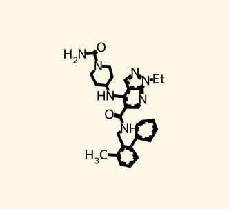 CCn1ncc2c(NC3CCN(C(N)=O)CC3)c(C(=O)NCc3c(C)cccc3-c3ccccc3)cnc21